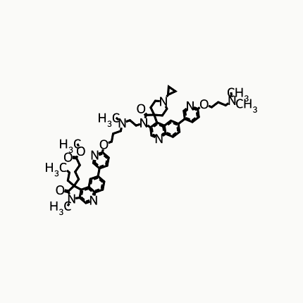 CCCC1(CCCC(=O)OC)C(=O)N(C)c2cnc3ccc(-c4ccc(OCCCN(C)CCN5C(=O)C6(CCN(C7CC7)CC6)c6c5cnc5ccc(-c7ccc(OCCCN(C)C)nc7)cc65)nc4)cc3c21